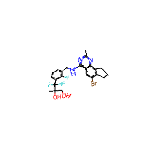 Cc1nc(NCc2cccc(C(F)(F)C(C)(O)CO)c2F)c2cc(Br)c3c(c2n1)CCC3